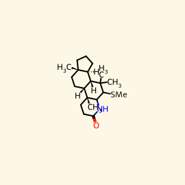 CSC1C2NC(=O)CC[C@]2(C)[C@@H]2CC[C@]3(C)CCC[C@H]3[C@@H]2C1(C)C